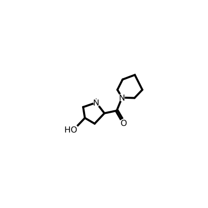 O=C(C1CC(O)C[N]1)N1CCCCC1